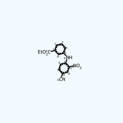 CCOC(=O)c1cccc(Nc2ccc(C#N)cc2[N+](=O)[O-])c1